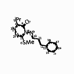 CSc1nnc(C(C)C)c(=O)n1N=CC=Cc1ccccc1